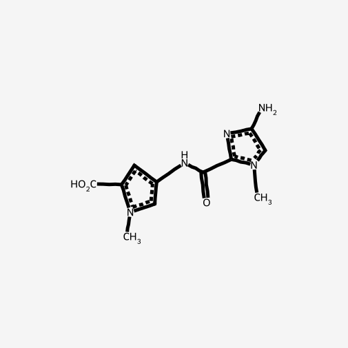 Cn1cc(NC(=O)c2nc(N)cn2C)cc1C(=O)O